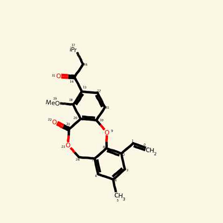 C=Cc1cc(C)cc2c1Oc1ccc(C(=O)CC(C)C)c(OC)c1C(=O)OC2